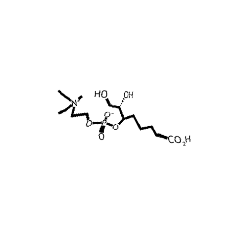 C[N+](C)(C)CCOP(=O)([O-])OC(CCCCC(=O)O)[C@@H](O)CO